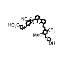 COc1cc(/C=C/c2cccc(-c3cccc(-c4nc5cc(CN6CCC(C(=O)O)C6)cc(C#N)c5o4)c3C)c2C)c(C(F)(F)F)cc1CN1CCC(O)C1